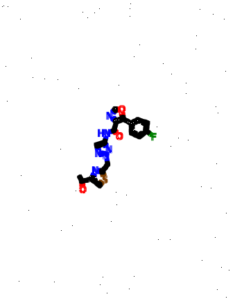 CC(=O)c1csc(Cn2ncc(NC(=O)c3ncoc3-c3ccc(F)cc3)n2)n1